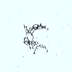 C=C(C)C(=O)OP(=O)(OCCO)OCCCC[N+](C)(C)C